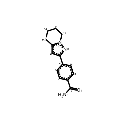 NC(=O)c1ccc(-c2cc3n(n2)CCCS3)cc1